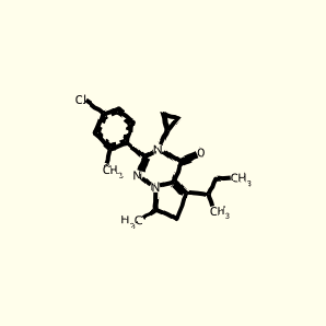 CCC(C)C1=C2C(=O)N(C3CC3)C(c3ccc(Cl)cc3C)=NN2C(C)C1